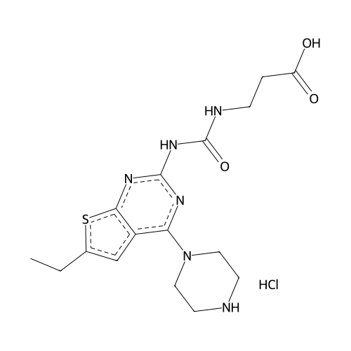 CCc1cc2c(N3CCNCC3)nc(NC(=O)NCCC(=O)O)nc2s1.Cl